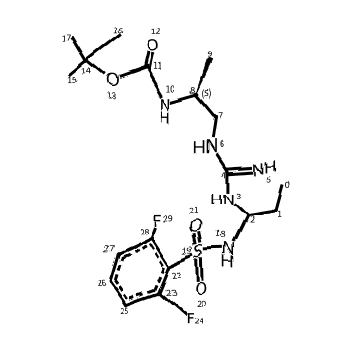 CCC(NC(=N)NC[C@H](C)NC(=O)OC(C)(C)C)NS(=O)(=O)c1c(F)cccc1F